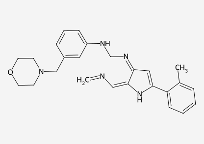 C=N/C=C1/NC(c2ccccc2C)=C/C1=N/CNc1cccc(CN2CCOCC2)c1